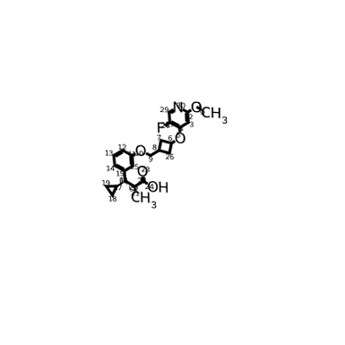 COc1cc(OC2CC(COc3cccc([C@H](C4CC4)[C@H](C)C(=O)O)c3)C2)c(F)cn1